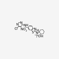 CC1(C)O[C@@H]2CCCC[C@H]2N1c1nc2ccc(CNc3ncnc(Cl)c3[N+](=O)[O-])cc2s1